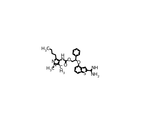 CCCCc1nn(C)c(C)c1NC(=O)OCC(Oc1cccc2sc(C(=N)N)cc12)c1ccccc1